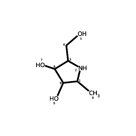 CC1NC(CO)C(O)C1O